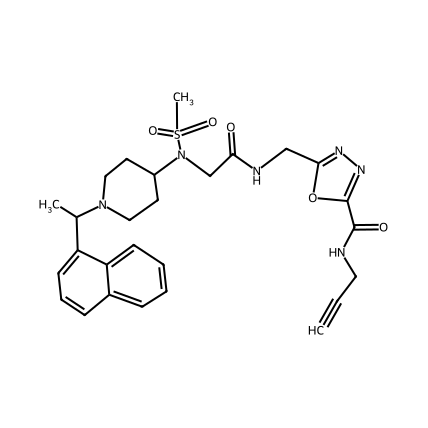 C#CCNC(=O)c1nnc(CNC(=O)CN(C2CCN(C(C)c3cccc4ccccc34)CC2)S(C)(=O)=O)o1